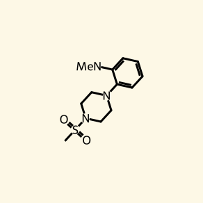 CNc1ccccc1N1CCN(S(C)(=O)=O)CC1